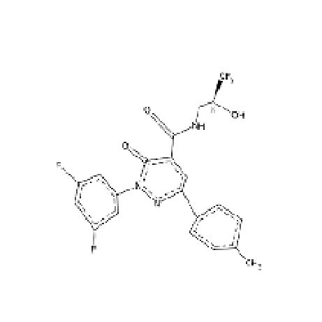 Cc1ccc(-c2cc(C(=O)NC[C@H](O)C(F)(F)F)c(=O)n(-c3cc(F)cc(F)c3)n2)cc1